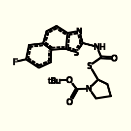 CC(C)(C)OC(=O)N1CCCC1SC(=O)Nc1nc2ccc3cc(F)ccc3c2s1